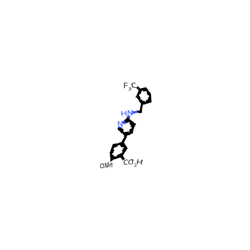 COc1ccc(-c2ccc(NCc3cccc(C(F)(F)F)c3)nc2)cc1C(=O)O